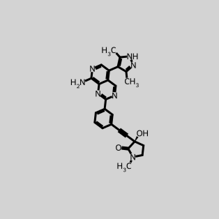 Cc1n[nH]c(C)c1-c1cnc(N)c2nc(-c3cccc(C#C[C@]4(O)CCN(C)C4=O)c3)ncc12